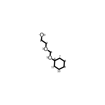 [O]CCOCOC1CCCCC1